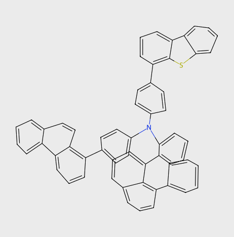 c1ccc(-c2cccc3cccc(-c4ccccc4N(c4ccc(-c5cccc6c5ccc5ccccc56)cc4)c4ccc(-c5cccc6c5sc5ccccc56)cc4)c23)cc1